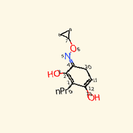 CCCC1=C(O)C(=NOC2CC2)CC=C1O